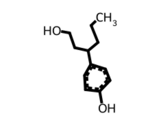 CCCC(CCO)c1ccc(O)cc1